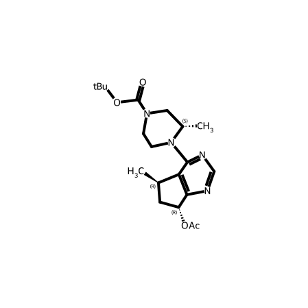 CC(=O)O[C@@H]1C[C@@H](C)c2c1ncnc2N1CCN(C(=O)OC(C)(C)C)C[C@@H]1C